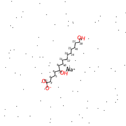 O=C([O-])CCCCC(O)CCCCCCCCCCO.[Na+]